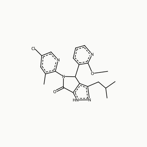 COc1ncccc1C1c2c(CC(C)C)n[nH]c2C(=O)N1c1ncc(Cl)cc1C